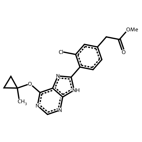 COC(=O)Cc1ccc(-c2nc3c(OC4(C)CC4)ncnc3[nH]2)c(Cl)c1